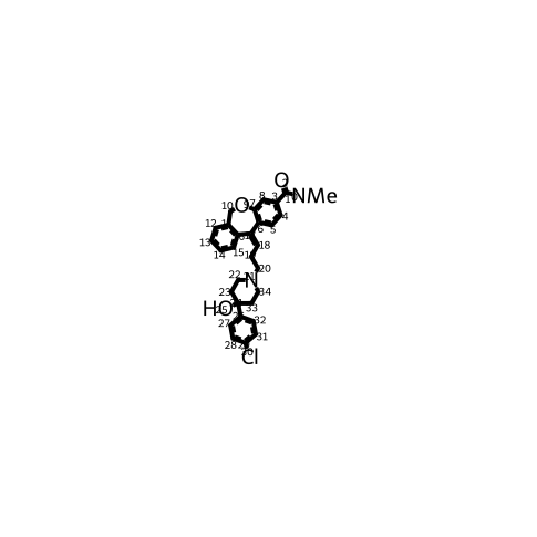 CNC(=O)c1ccc2c(c1)OCc1ccccc1C2=CCCN1CCC(O)(c2ccc(Cl)cc2)CC1